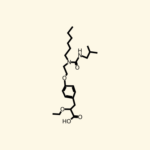 CCCCCCN(CCOc1ccc(CC(OCC)C(=O)O)cc1)C(=O)NCC(C)C